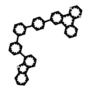 c1cc(-c2ccc(-c3ccc4c(c3)c3ccccc3c3nccnc43)cc2)cc(-c2cccc(-c3cccc4c3oc3ccccc34)c2)c1